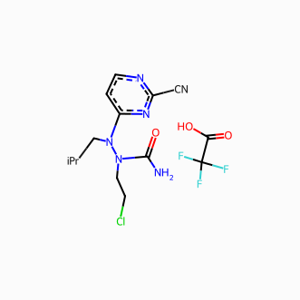 CC(C)CN(c1ccnc(C#N)n1)N(CCCl)C(N)=O.O=C(O)C(F)(F)F